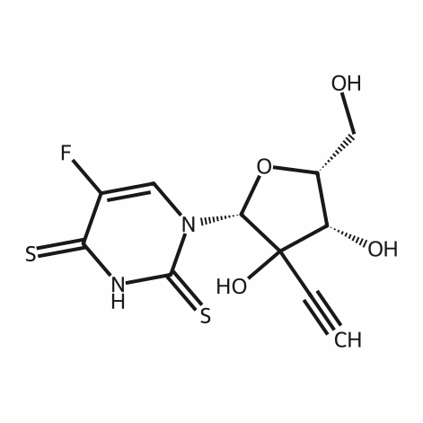 C#CC1(O)[C@@H](O)[C@@H](CO)O[C@H]1n1cc(F)c(=S)[nH]c1=S